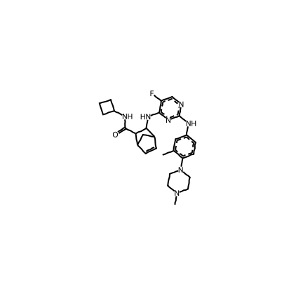 Cc1cc(Nc2ncc(F)c(NC3C4C=CC(C4)C3C(=O)NC3CCC3)n2)ccc1N1CCN(C)CC1